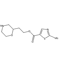 CCCc1ncc(C(=O)OCCC2CNCCO2)s1